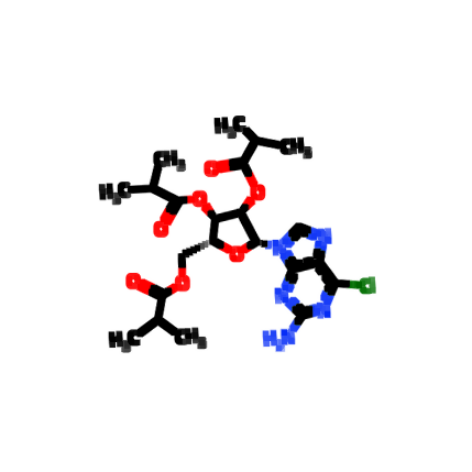 CC(C)C(=O)OC[C@H]1O[C@@H](n2cnc3c(Cl)nc(N)nc32)[C@H](OC(=O)C(C)C)[C@@H]1OC(=O)C(C)C